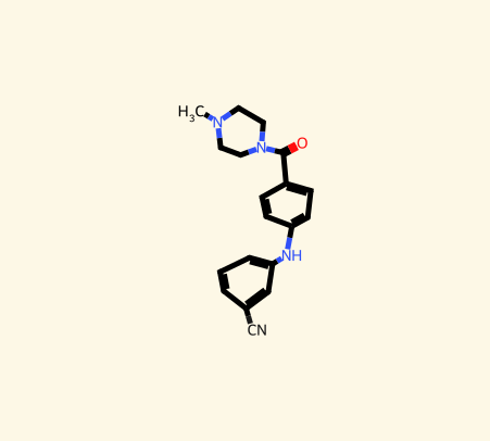 CN1CCN(C(=O)c2ccc(Nc3cccc(C#N)c3)cc2)CC1